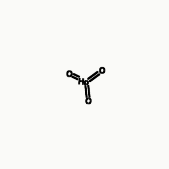 [O]=[Ho](=[O])=[O]